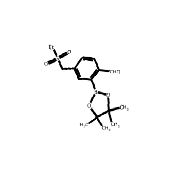 CCS(=O)(=O)Cc1ccc(C=O)c(B2OC(C)(C)C(C)(C)O2)c1